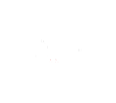 O=C(O)CC(=O)O.[Li][C](C)(CCCCCC)CCCCCCCCCCCC